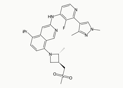 Cc1nn(C)cc1-c1nccc(Nc2cc3c(C(C)C)ccc(N4C[C@H](CS(C)(=O)=O)[C@H]4C)c3cn2)c1F